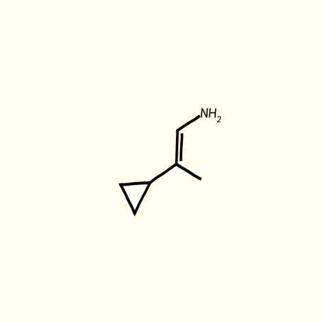 CC(=CN)C1CC1